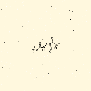 CCC(NC(=O)OC(C)(C)C)N1C(=O)N[C@H](C)C1=O